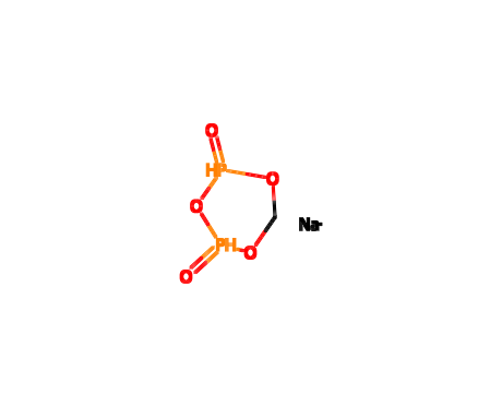 O=[PH]1OCO[PH](=O)O1.[Na]